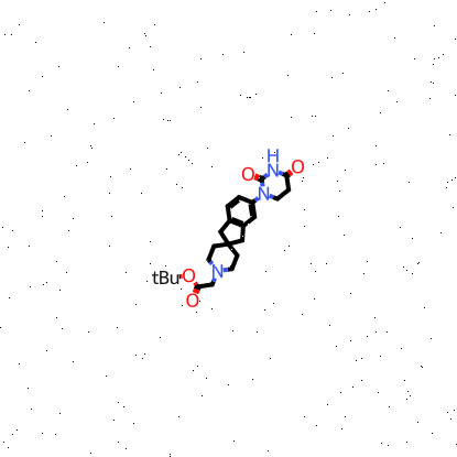 CC(C)(C)OC(=O)CN1CCC2(CC1)Cc1ccc(N3CCC(=O)NC3=O)cc1C2